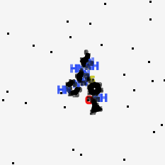 Cc1cc(Nc2cc(N3CCCNCC3)nc(Sc3ccc(NC(=O)C4CC4)cc3)n2)[nH]n1